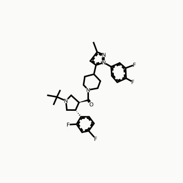 Cc1cc(C2CCN(C(=O)[C@@H]3CN(C(C)(C)C)C[C@H]3c3ccc(F)cc3F)CC2)n(-c2ccc(F)c(F)c2)n1